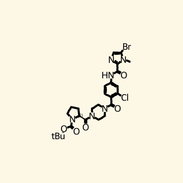 Cn1c(Br)cnc1C(=O)Nc1ccc(C(=O)N2CCN(C(=O)[C@@H]3CCCN3C(=O)OC(C)(C)C)CC2)c(Cl)c1